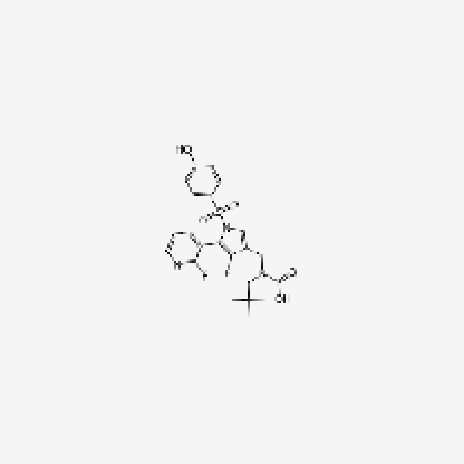 CC(C)(C)CN(Cc1cn(S(=O)(=O)c2ccc(O)cc2)c(-c2cccnc2F)c1F)C(=O)O